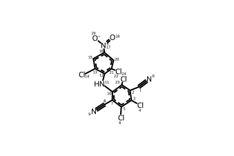 N#Cc1c(Cl)c(Cl)c(C#N)c(Nc2c(Cl)cc([N+](=O)[O-])cc2Cl)c1Cl